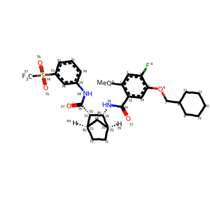 COc1cc(F)c(OCC2CCCCC2)cc1C(=O)N[C@@H]1[C@H]2CC[C@H](C2)[C@@H]1C(=O)Nc1cccc(S(=O)(=O)C(F)(F)F)c1